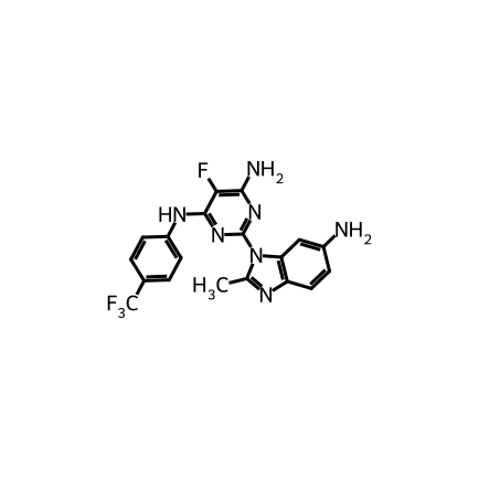 Cc1nc2ccc(N)cc2n1-c1nc(N)c(F)c(Nc2ccc(C(F)(F)F)cc2)n1